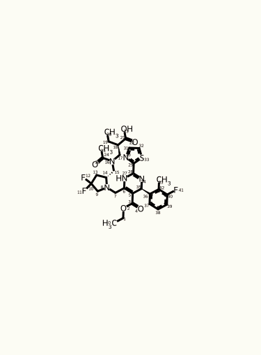 CCOC(=O)C1=C(CN2CC(F)(F)C[C@@H]2CN(C[C@@H](CC)C(=O)O)C(C)=O)NC(c2nccs2)=N[C@H]1c1cccc(F)c1C